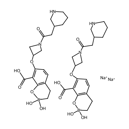 O=C(O)c1c(OC2CN(C(=O)CC3CCCNC3)C2)ccc2c1O[B-](O)(O)CC2.O=C(O)c1c(OC2CN(C(=O)CC3CCCNC3)C2)ccc2c1O[B-](O)(O)CC2.[Na+].[Na+]